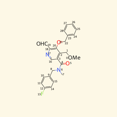 COCc1c(C(=O)N(C)Cc2ccc(F)cc2)cnc(C=O)c1OCc1ccccc1